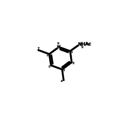 CC(=O)Nc1cc(C)cc(C)n1